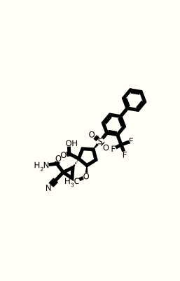 CO[C@@H]1C[C@H](S(=O)(=O)c2ccc(-c3ccccc3)cc2C(F)(F)F)C[C@@]1(C(=O)O)C1CC1(C#N)C(N)=O